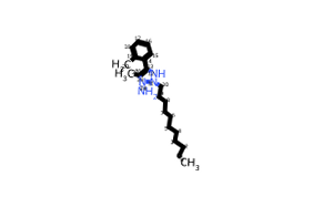 CCCCCCCCCCCN1NC(c2ccccc2C)=C(C)N1N